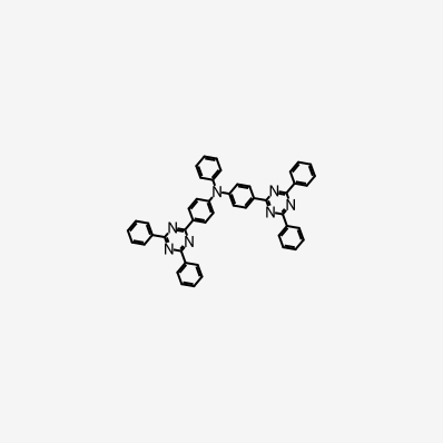 c1ccc(-c2nc(-c3ccccc3)nc(-c3ccc(N(c4ccccc4)c4ccc(-c5nc(-c6ccccc6)nc(-c6ccccc6)n5)cc4)cc3)n2)cc1